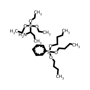 CCCCO[Si](OCCCC)(OCCCC)c1ccccc1.CCO[Si](OCC)(OCC)C(N)CC